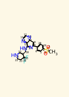 CS(=O)(=O)c1ccc(-c2cc3nccnc3c(NC[C@@H]3CNCCC3(F)F)n2)cc1